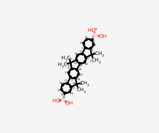 CC1(C)c2cc(B(O)O)ccc2-c2cc3c(cc21)-c1cc2c(cc1C3(C)C)-c1ccc(B(O)O)cc1C2(C)C